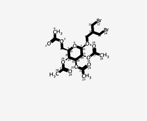 CC(=O)OC[C@H]1O[C@@H](OCC(CBr)CBr)[C@H](OC(C)=O)[C@@H](OC(C)=O)[C@@H]1OC(C)=O